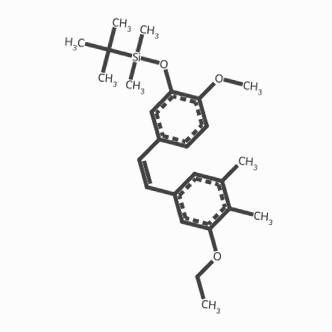 CCOc1cc(/C=C\c2ccc(OC)c(O[Si](C)(C)C(C)(C)C)c2)cc(C)c1C